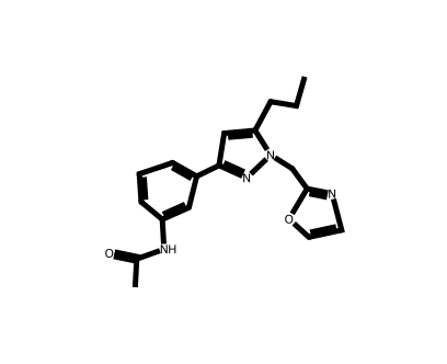 CCCc1cc(-c2cccc(NC(C)=O)c2)nn1Cc1ncco1